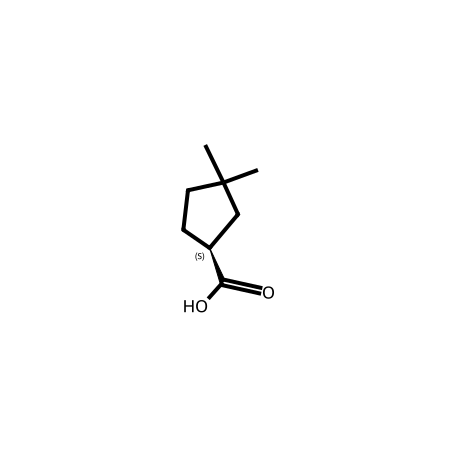 CC1(C)CC[C@H](C(=O)O)C1